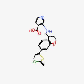 C=C(Cl)S/C(=C\C)c1ccc2c(c1)OCCC2CNc1cnccc1C(=O)O